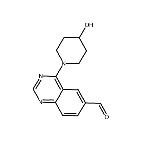 O=Cc1ccc2ncnc(N3CCC(O)CC3)c2c1